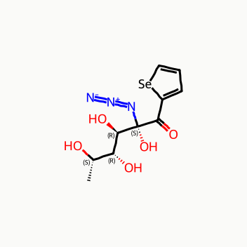 C[C@H](O)[C@@H](O)[C@@H](O)[C@@](O)(N=[N+]=[N-])C(=O)c1ccc[se]1